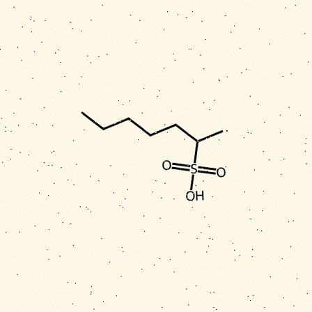 [CH2]C(CCCCC)S(=O)(=O)O